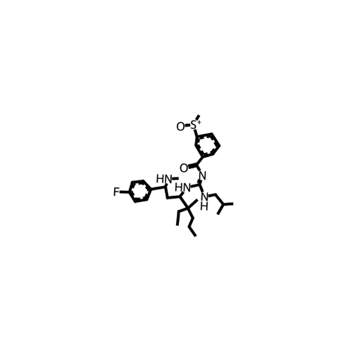 CCCC(C)(CC)C(CC(NC)c1ccc(F)cc1)N/C(=N\C(=O)c1cccc([S+](C)[O-])c1)NCC(C)C